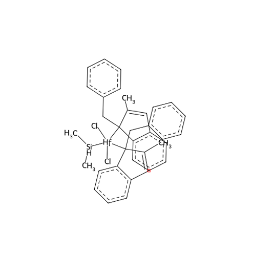 CC1=Cc2ccccc2[C]1(Cc1ccccc1)[Hf]([Cl])([Cl])([SiH](C)C)[C]1(Cc2ccccc2)C(C)=Cc2ccccc21